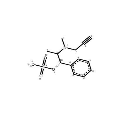 C#CCN(C)C(C)[C@@H](OS(=O)(=O)C(F)(F)F)c1ccccc1